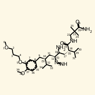 COCCCOc1cc(C[C@@H](C[C@H](N=N)[C@@H](N)C[C@H](C(=O)NCC(C)(C)C(N)=O)C(C)C)C(C)C)ccc1OC